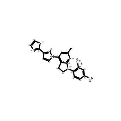 Cc1cc(-n2ccc(-c3nccs3)n2)c2c(n1)N(c1ccc(C#N)cc1C(F)(F)F)CC2